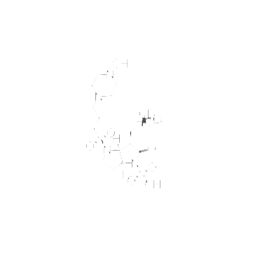 CCC[C@H]1C(=O)N(S(C)(=O)=O)[C@H]2CCN(S(=O)(=O)CCCN3CCN(C)CC3)[C@H]12.Cl.Cl